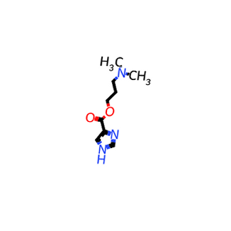 CN(C)CCCOC(=O)c1c[nH]cn1